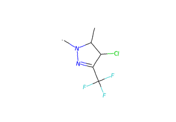 [CH2]N1N=C(C(F)(F)F)C(Cl)C1C